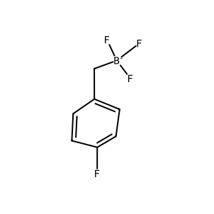 Fc1ccc(C[B-](F)(F)F)cc1